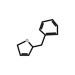 C1=C[C](Cc2ccccc2)OC1